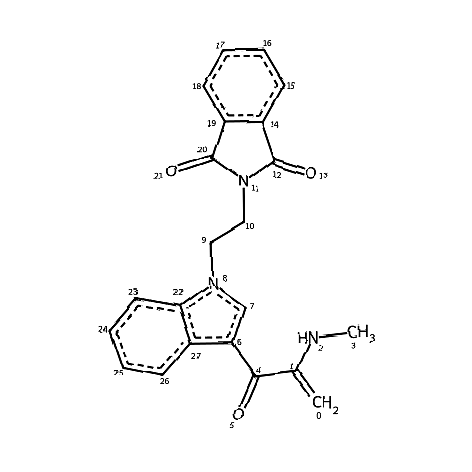 C=C(NC)C(=O)c1cn(CCN2C(=O)c3ccccc3C2=O)c2ccccc12